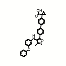 Cc1noc(-c2ccc(-c3ccc(C4(C(=O)O)CC4)cc3)cc2)c1Nc1cccc(Oc2ccccc2)c1